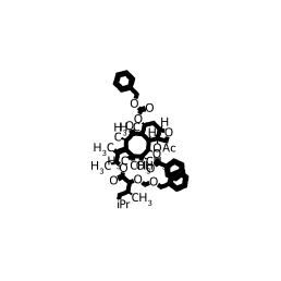 CC(=O)O[C@@]12CO[C@@H]1C[C@H](OC(=O)OCc1ccccc1)[C@@]1(C)C(=O)[C@H](C)/C(=C(\C)[C@H](C)OC(=O)C(OCOCc3ccccc3)[C@@H](C)CC(C)C)C(C)(C)[C@](C)(O)[C@@H](OC(=O)c3ccccc3)[C@H]21